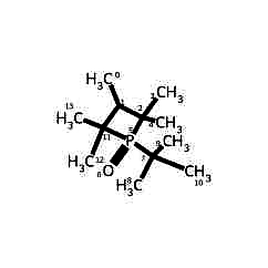 CC1C(C)(C)P(=O)(C(C)(C)C)C1(C)C